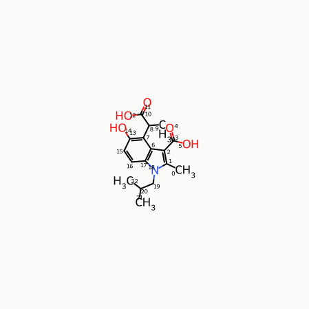 Cc1c(C(=O)O)c2c(C(C)C(=O)O)c(O)ccc2n1CC(C)C